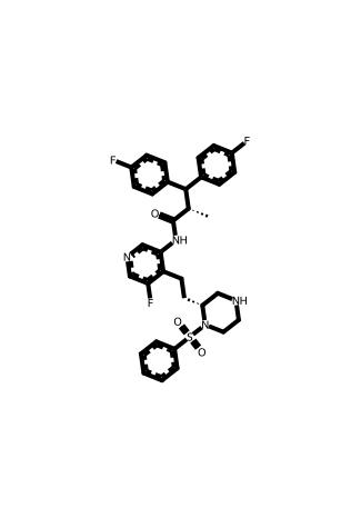 C[C@H](C(=O)Nc1cncc(F)c1CC[C@@H]1CNCCN1S(=O)(=O)c1ccccc1)C(c1ccc(F)cc1)c1ccc(F)cc1